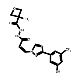 CC1(C(=O)NNC(=O)/C=C\n2cnc(-c3cc(S)cc(C(F)(F)F)c3)n2)COC1